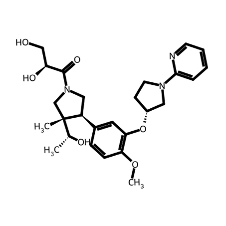 COc1ccc([C@@H]2CN(C(=O)[C@@H](O)CO)C[C@@]2(C)[C@@H](C)O)cc1O[C@@H]1CCN(c2ccccn2)C1